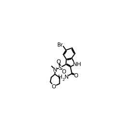 CN(C1CCOCC1)S(=O)(=O)c1c(C(N)=O)[nH]c2ccc(Br)cc12